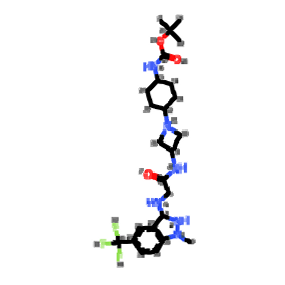 CN1NC(NCC(=O)NC2CN(C3CCC(NC(=O)OC(C)(C)C)CC3)C2)c2cc(C(F)(F)F)ccc21